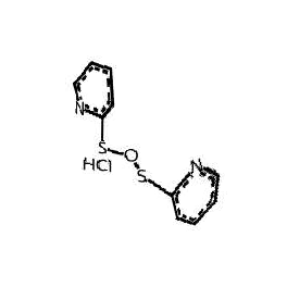 Cl.c1ccc(SOSc2ccccn2)nc1